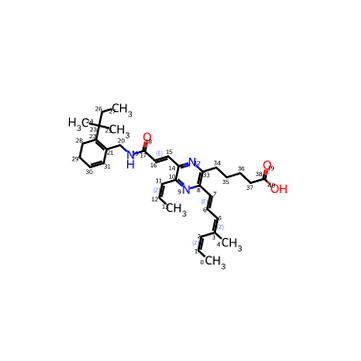 C\C=C/C(C)=C\C=C\c1nc(/C=C\C)c(/C=C/C(=O)NCC2=C(C(C)(C)CC)CCC=C2)nc1CCCCC(=O)O